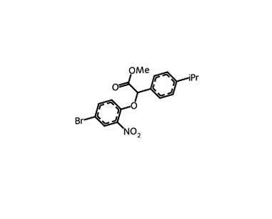 COC(=O)C(Oc1ccc(Br)cc1[N+](=O)[O-])c1ccc(C(C)C)cc1